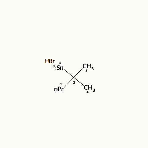 Br.CCC[C](C)(C)[Sn]